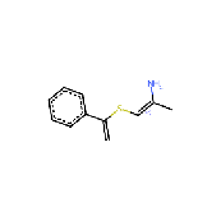 C=C(S/C=C(/C)N)c1ccccc1